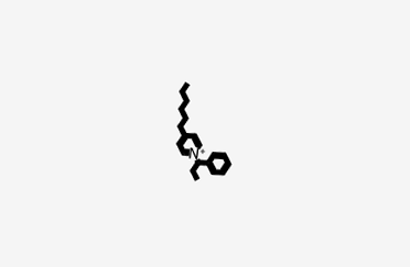 CCCCCCc1cc[n+](C(CC)c2ccccc2)cc1